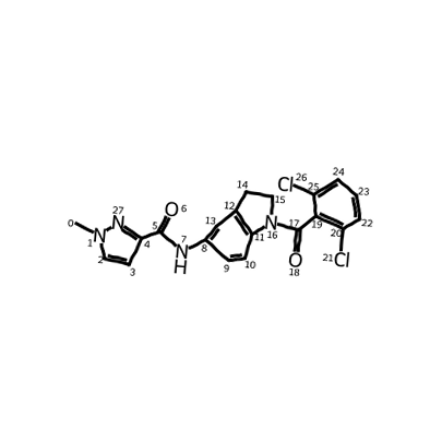 Cn1ccc(C(=O)Nc2ccc3c(c2)CCN3C(=O)c2c(Cl)cccc2Cl)n1